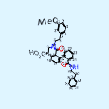 COc1cccc(CCN(CCC(=O)O)C(=O)c2ccccc2-c2ccccc2C(=O)NCCc2ccccc2)c1